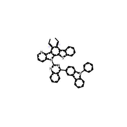 C/C=c1\c(=C/C)c2c3ncccc3n(-c3nc(-c4ccc5c(c4)c4ccccc4n5-c4ccccc4)c4ccccc4n3)c2c2sc3ccccc3c12